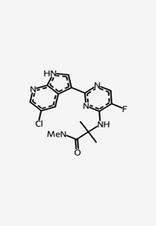 CNC(=O)C(C)(C)Nc1nc(-c2c[nH]c3ncc(Cl)cc23)ncc1F